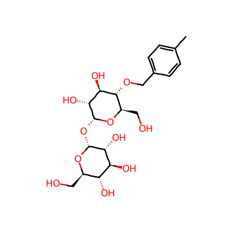 Cc1ccc(CO[C@H]2[C@H](O)[C@@H](O)[C@@H](O[C@H]3O[C@H](CO)[C@@H](O)[C@H](O)[C@H]3O)O[C@@H]2CO)cc1